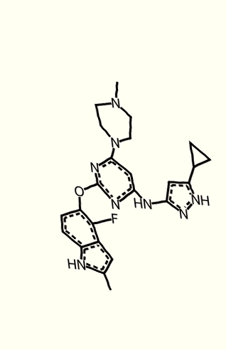 Cc1cc2c(F)c(Oc3nc(Nc4cc(C5CC5)[nH]n4)cc(N4CCN(C)CC4)n3)ccc2[nH]1